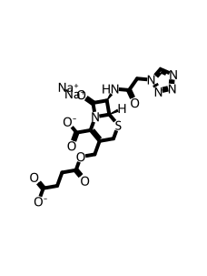 O=C([O-])CCC(=O)OCC1=C(C(=O)[O-])N2C(=O)[C@@H](NC(=O)Cn3cnnn3)[C@@H]2SC1.[Na+].[Na+]